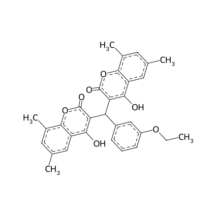 CCOc1cccc(C(c2c(O)c3cc(C)cc(C)c3oc2=O)c2c(O)c3cc(C)cc(C)c3oc2=O)c1